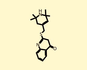 CC1(C)C=C(CSC2=Nc3ccccc3C(=O)C2)CC(C)(C)N1